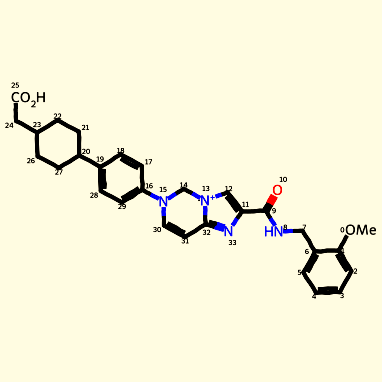 COc1ccccc1CNC(=O)C1=C[N+]2CN(c3ccc(C4CCC(CC(=O)O)CC4)cc3)C=CC2=N1